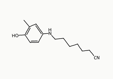 Cc1cc(NCCCCCCC#N)ccc1O